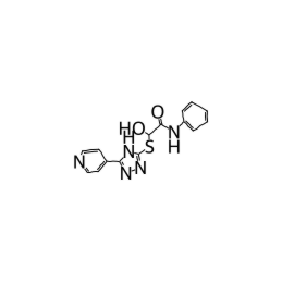 O=C(Nc1ccccc1)C(O)Sc1nnc(-c2ccncc2)[nH]1